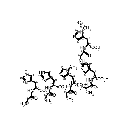 C[C@H](N)C(=O)N[C@@H](CC1=NC=NC1)C(=O)O.Cn1cncc1C[C@H](NC(=O)CN)C(=O)O.Cn1cncc1C[C@H](NC(=O)CN)C(=O)O.NCC(=O)N[C@@H](Cc1c[nH]cn1)C(=O)O.NCC(=O)N[C@@H](Cc1c[nH]cn1)C(=O)O.[Cu].[Cu]